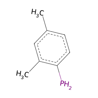 Cc1ccc(P)c(C)c1